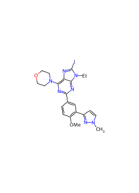 CCn1c(I)nc2c(N3CCOCC3)nc(-c3ccc(OC)c(-c4ccn(C)n4)c3)nc21